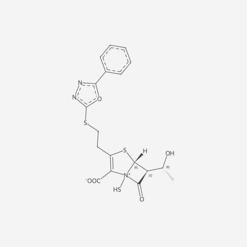 C[C@@H](O)[C@H]1C(=O)[N+]2(S)C(C(=O)[O-])=C(CCSc3nnc(-c4ccccc4)o3)S[C@H]12